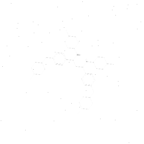 CC1CCC(Cc2ccc(C(CC(C(=O)C3CCC(C)CC3)c3ccc(CC4CCC(C)CC4)cc3)C(=O)C3CCC(C)CC3)cc2)CC1